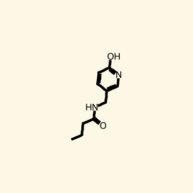 CCCC(=O)NCc1ccc(O)nc1